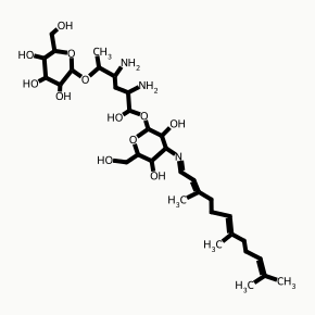 CC(C)=CCC/C(C)=C/CC/C(C)=C/C=N/C1C(O)C(CO)OC(OC(O)C(N)CC(N)C(C)OC2OC(CO)C(O)C(O)C2O)C1O